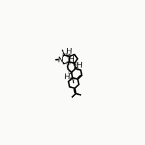 CC(C)=C1CC[C@@]2(C)C(=CC[C@H]3[C@@H]4CC[C@@H]5[C@H](C)N(C)C[C@@]54CC[C@@H]32)C1